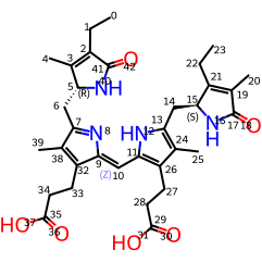 CCC1=C(C)[C@@H](CC2=N/C(=C\c3[nH]c(C[C@@H]4NC(=O)C(C)=C4CC)c(C)c3CCC(=O)O)C(CCC(=O)O)=C2C)NC1=O